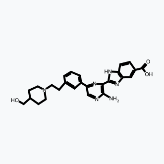 Nc1ncc(-c2cccc(CCN3CCC(CO)CC3)c2)nc1-c1nc2cc(C(=O)O)ccc2[nH]1